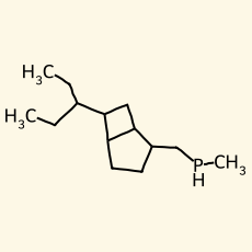 CCC(CC)C1CC2C(CPC)CCC12